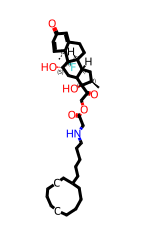 C[C@@H]1C[C@@H]2C(C[C@H](O)[C@@]3(F)[C@H]2CCC2=CC(=O)C=C[C@@]23C)[C@@]1(O)C(=O)COC(=O)CNCCCCCC1CCCCCCCCCC1